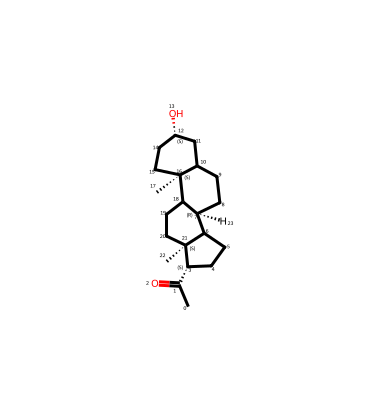 CC(=O)[C@H]1CCC2[C@@H]3CCC4C[C@@H](O)CC[C@]4(C)C3CC[C@@]21C